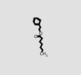 CCCCCCC(=O)OCCc1ccccc1